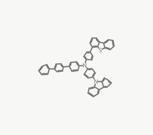 c1ccc(-c2ccc(-c3ccc(N(c4ccc(-c5cccc6c5sc5ccccc56)cc4)c4ccc(-n5c6ccccc6c6ccccc65)cc4)cc3)cc2)cc1